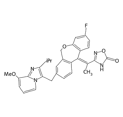 COc1cccn2c(Cc3ccc4c(c3)COc3cc(F)ccc3/C4=C(/C)c3noc(=O)[nH]3)c(C(C)C)nc12